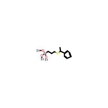 CCO[Si](CCCSC(C)c1ccccc1)(OCC)OCC